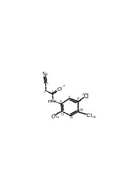 N#CCC(=O)Nc1cc(Cl)c(Cl)cc1Cl